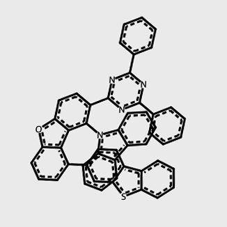 c1ccc(-c2nc(-c3ccccc3)nc(-c3ccc4oc5cccc(-c6ccc7c(c6)sc6ccccc67)c5c4c3-n3c4ccccc4c4ccccc43)n2)cc1